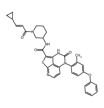 Cc1cc(Oc2ccccc2)ccc1N1C(=O)Nc2c(C(=O)NC3CCCN(C(=O)/C=C/C4CC4)C3)sc3nccc1c23